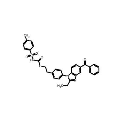 CCc1nc2cc(C(=O)c3ccccc3)ccc2n1-c1ccc(CCOC(=O)NS(=O)(=O)c2ccc(C)cc2)cc1